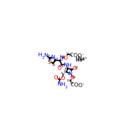 NC(=O)OC[C@@H]1[C@H](NC(=O)/C(=N\OCC(=O)[O-])c2csc(N)n2)C(=O)N1OCC(=O)[O-].[Na+].[Na+]